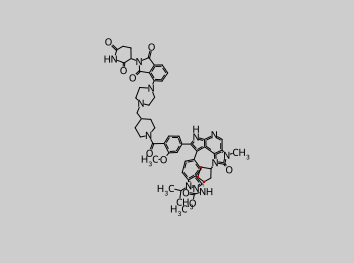 COC(=O)N[C@@H]1CC[C@@H](n2c(=O)n(C)c3cnc4[nH]c(-c5ccc(C(=O)N6CCC(CN7CCN(c8cccc9c8C(=O)N(C8CCC(=O)NC8=O)C9=O)CC7)CC6)c(OC)c5)c(-c5ccc6c(cnn6C(C)C)c5)c4c32)C1